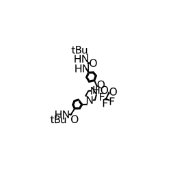 CC(C)(C)CNC(=O)Nc1ccc(C(=O)N2CCN(Cc3cccc(C(=O)NC(C)(C)C)c3)CC2)cc1.O=C(O)C(F)(F)F